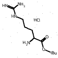 CC(C)(C)OC(=O)C(N)CCCNC(=N)N.Cl